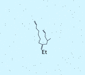 C=CCCCCCC(=CCC)CC(C)CC=C